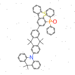 CC1(C)c2ccccc2N(c2ccc3c(c2)C(C)(C)c2ccc(-c4cc(P(=O)(c5ccccc5)c5ccccc5)c5sc6ccccc6c5c4)cc2C3(C)C)c2ccccc21